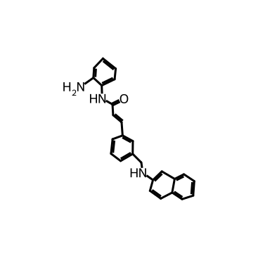 Nc1ccccc1NC(=O)/C=C/c1cccc(CNc2ccc3ccccc3c2)c1